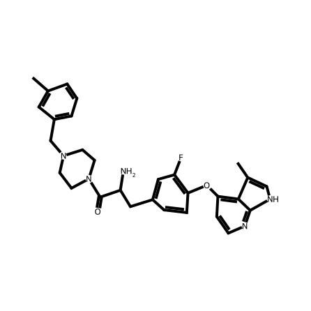 Cc1cccc(CN2CCN(C(=O)C(N)Cc3ccc(Oc4ccnc5[nH]cc(C)c45)c(F)c3)CC2)c1